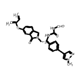 C=CC(=C)Oc1ccc2c(c1)C(=O)N(C[C@H](NC(=O)NC=O)c1ccc(-c3cnn(C)c3)cc1)C2